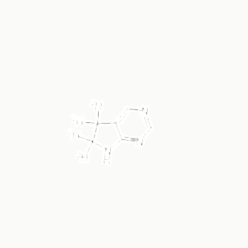 [2H]C1([2H])Nc2ncncc2C1([2H])[2H]